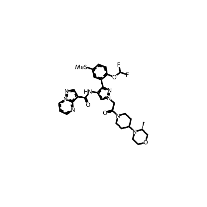 CSc1ccc(OC(F)F)c(-c2nn(CC(=O)N3CCC(N4CCOC[C@@H]4C)CC3)cc2NC(=O)c2cnn3cccnc23)c1